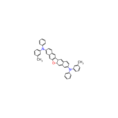 Cc1cccc(N(c2ccccc2)c2ccc3c(c2)=CC2Oc4cc5cc(N(c6ccccc6)c6cccc(C)c6)ccc5cc4C2C=3)c1